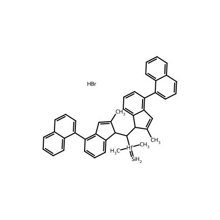 Br.CC1=Cc2c(-c3cccc4ccccc34)cccc2C1[CH](C1C(C)=Cc2c(-c3cccc4ccccc34)cccc21)[Hf]([CH3])([CH3])=[SiH2]